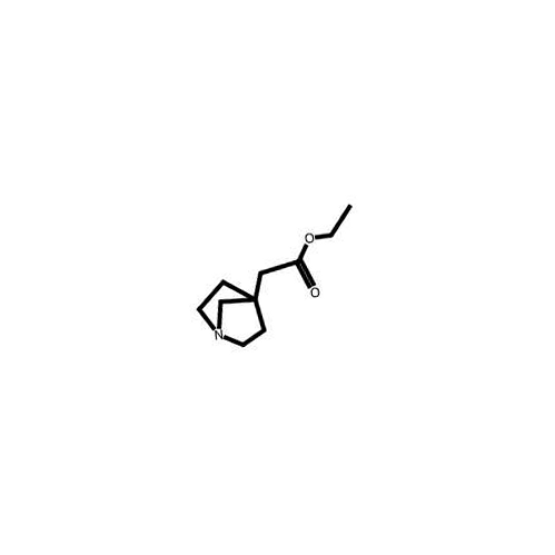 CCOC(=O)CC12CCN(CC1)C2